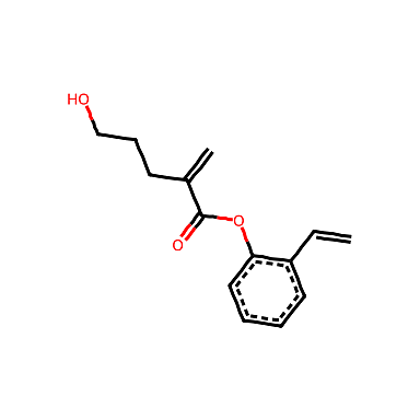 C=Cc1ccccc1OC(=O)C(=C)CCCO